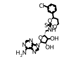 Nc1ncnc2c1ncn2[C@@H]1O[C@H](CNP2(=S)OCCC(c3cccc(Cl)c3)O2)C(O)[C@@H]1O